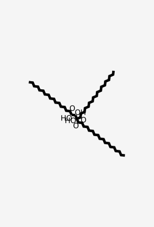 CCCCCCCCCCCCCCCCCC(=O)C(O)(C(=O)CCCCCCCCCCCCCCCCC)C(O)C(O)C(=O)CCCCCCCCCCCCCCC